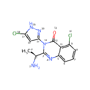 C[C@H](N)c1nc2cccc(Cl)c2c(=O)n1-c1cc(Cl)[nH]n1